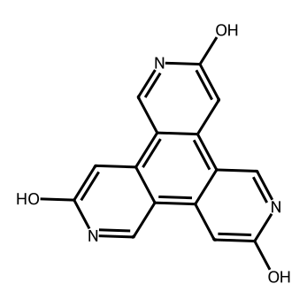 Oc1cc2c(cn1)c1cc(O)ncc1c1cc(O)ncc21